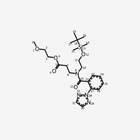 COCCOC(=O)CCN(CCO[Si](C)(C)C(C)(C)C)C(=O)c1ccccc1-n1nccn1